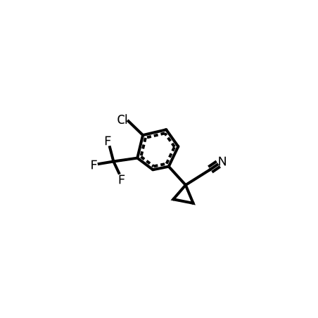 N#CC1(c2ccc(Cl)c(C(F)(F)F)c2)CC1